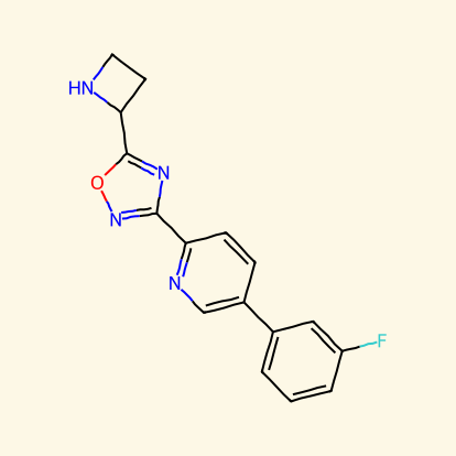 Fc1cccc(-c2ccc(-c3noc(C4CCN4)n3)nc2)c1